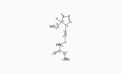 CC(C)(C)OC(=O)NCC#CC1C=CSC1(C)C(=O)O